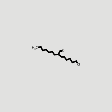 CCCCCCCC(C=O)CCCCCCCl